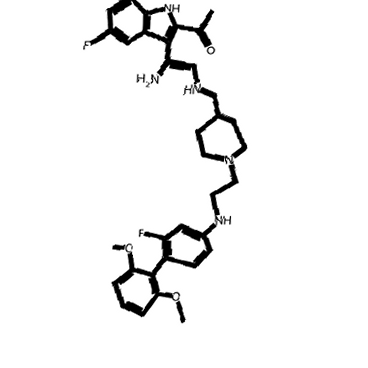 COc1cccc(OC)c1-c1ccc(NCCN2CCC(CN/C=C(\N)c3c(C(C)=O)[nH]c4ccc(F)cc34)CC2)cc1F